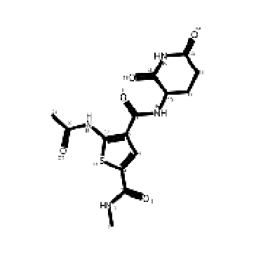 CNC(=O)c1cc(C(=O)NC2CCC(=O)NC2=O)c(NC(C)=O)s1